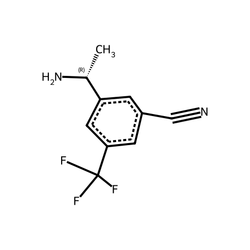 C[C@@H](N)c1cc(C#N)cc(C(F)(F)F)c1